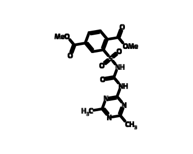 COC(=O)c1ccc(C(=O)OC)c(S(=O)(=O)NC(=O)Nc2nc(C)nc(C)n2)c1